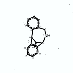 CC1C2NCc3ccccc3C1c1ccccc12